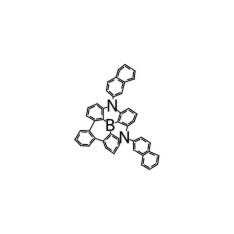 c1ccc2c(c1)-c1cccc3c1B1c4c-2cccc4N(c2ccc4ccccc4c2)c2cccc(c21)N3c1ccc2ccccc2c1